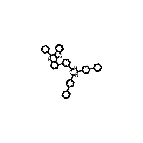 c1ccc(-c2ccc(-c3nc(-c4ccc(-c5ccccc5)cc4)nc(-c4cccc(-c5cccc6nc(-c7ccccc7)c7c8ccccc8sc7c56)c4)n3)cc2)cc1